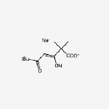 CC(C)(C)C(=O)/C=C(\O)C(C)(C)C(=O)[O-].[Na+]